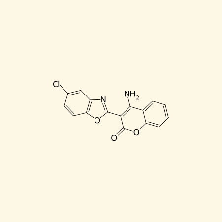 Nc1c(-c2nc3cc(Cl)ccc3o2)c(=O)oc2ccccc12